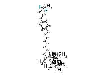 C=C(CCCCCCCCc1ccc(/C=C/CC(C)(F)F)cc1)C(C)(CC(C)(C)C(C)C)C(C)(C)C(C)C